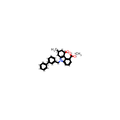 COC(=O)c1cccc2c1c1c(n2Cc2cccc(-c3ccccc3)c2)CC(C)CC1=O